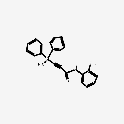 Cc1ccccc1NC(=O)C#C[Si](C)(c1ccccc1)c1ccccc1